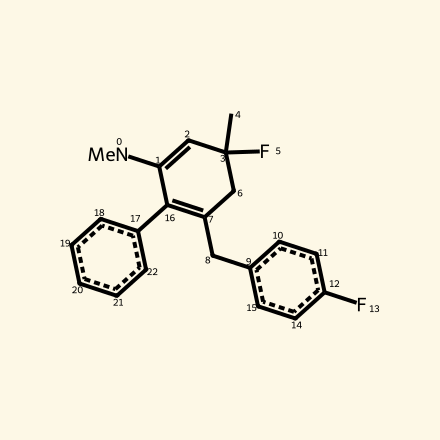 CNC1=CC(C)(F)CC(Cc2ccc(F)cc2)=C1c1ccccc1